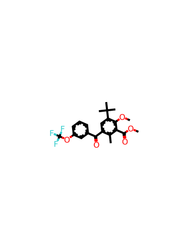 COC(=O)c1c(C)c(C(=O)c2cccc(OC(F)(F)F)c2)cc(C(C)(C)C)c1OC